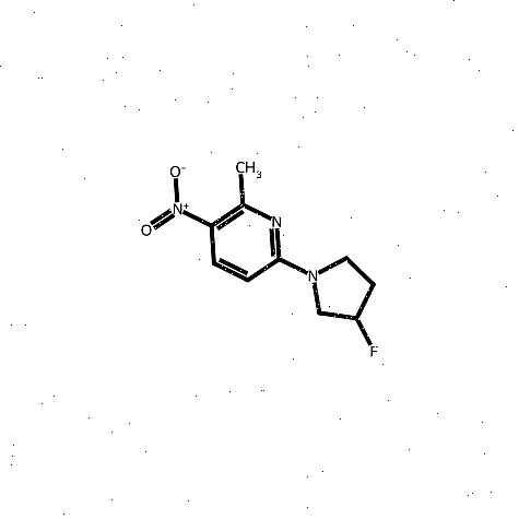 Cc1nc(N2CCC(F)C2)ccc1[N+](=O)[O-]